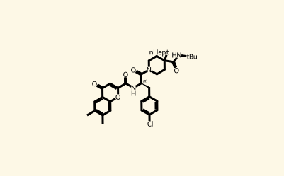 CCCCCCCC1(C(=O)NC(C)(C)C)CCN(C(=O)[C@@H](Cc2ccc(Cl)cc2)NC(=O)c2cc(=O)c3cc(C)c(C)cc3o2)CC1